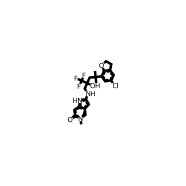 Cn1cc2cc(NCC(O)(CC(C)(C)c3cc(Cl)cc4c3OCC4)C(F)(F)F)[nH]c2cc1=O